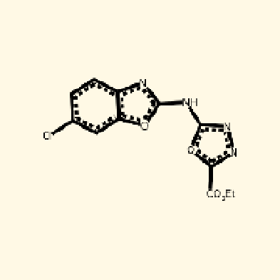 CCOC(=O)c1nnc(Nc2nc3ccc(Cl)cc3o2)o1